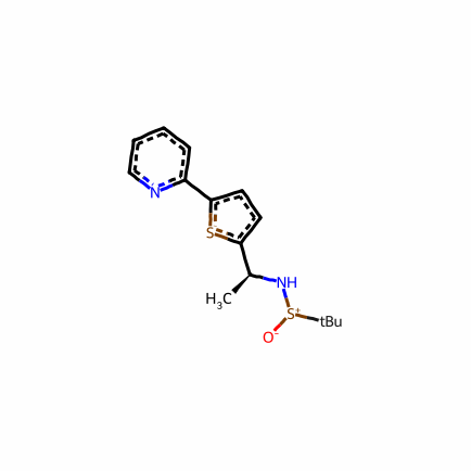 C[C@H](N[S+]([O-])C(C)(C)C)c1ccc(-c2ccccn2)s1